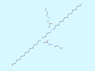 CCCCCCCCCCCCCCN(CCCCN(CCCCCCCCCCCCCC)CC(O)CNCCCC)CC(O)CNCCCC